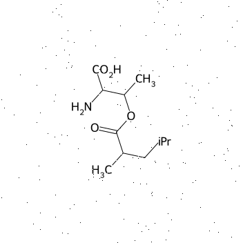 CC(C)CC(C)C(=O)OC(C)C(N)C(=O)O